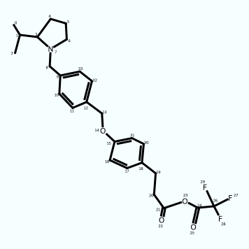 CC(C)C1CCCN1Cc1ccc(COc2ccc(CCC(=O)OC(=O)C(F)(F)F)cc2)cc1